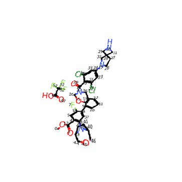 COC(=O)c1cc(F)c(-c2cccc3c2OCN(C(=O)c2c(Cl)cc(N4CCC5(CNC5)C4)cc2Cl)C3)cc1N1C2CCC1COC2.O=C(O)C(F)(F)F